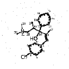 CC(=Cc1ccc(Cl)cc1)C(O)(c1ccccc1)C(C)CN(C)C